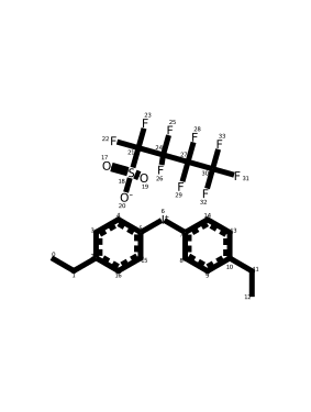 CCc1ccc([I+]c2ccc(CC)cc2)cc1.O=S(=O)([O-])C(F)(F)C(F)(F)C(F)(F)C(F)(F)F